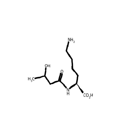 CC(O)CC(=O)N[C@@H](CCCCN)C(=O)O